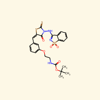 CC(C)(C)OC(=O)NCCOc1cccc(/C=C2/SC(=S)N(NC3=NS(=O)(=O)c4ccccc43)C2=O)c1